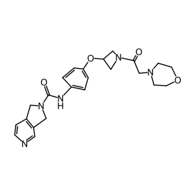 O=C(CN1CCOCC1)N1CC(Oc2ccc(NC(=O)N3Cc4ccncc4C3)cc2)C1